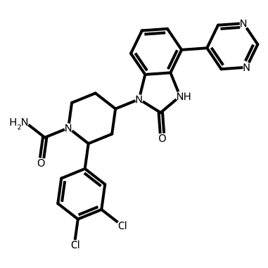 NC(=O)N1CCC(n2c(=O)[nH]c3c(-c4cncnc4)cccc32)CC1c1ccc(Cl)c(Cl)c1